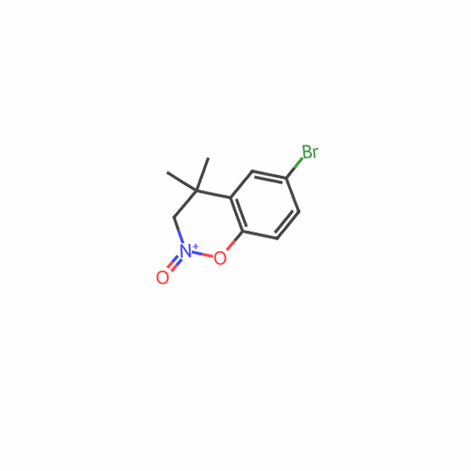 CC1(C)C[N+](=O)Oc2ccc(Br)cc21